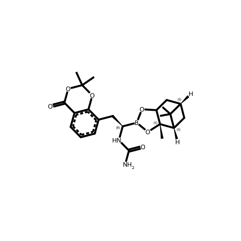 CC1(C)OC(=O)c2cccc(C[C@H](NC(N)=O)B3OC4C[C@@H]5C[C@@H](C5(C)C)[C@]4(C)O3)c2O1